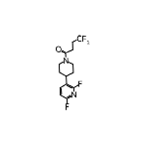 O=C(CCC(F)(F)F)N1CCC(c2ccc(F)nc2F)CC1